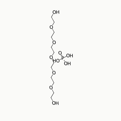 O=P(O)(O)O.OCCOCCOCCOCCOCCOCCO